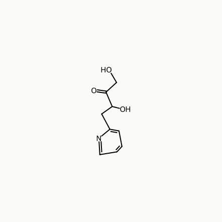 O=C(CO)C(O)Cc1ccccn1